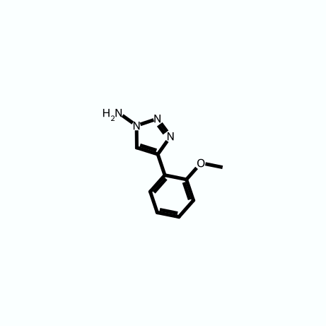 COc1ccccc1-c1cn(N)nn1